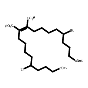 CCCCCCCCCCCCCC(CC)CCCCC(C(=O)O)=C(CCCCC(CC)CCCCCCCCCCCCC)C(=O)O